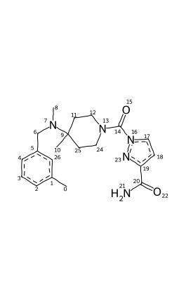 Cc1cccc(CN(C)C2(C)CCN(C(=O)n3ccc(C(N)=O)n3)CC2)c1